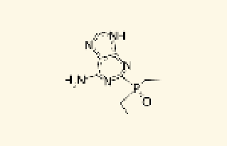 CCP(=O)(CC)c1nc(N)c2nc[nH]c2n1